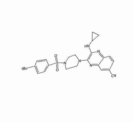 CC(C)(C)c1ccc(S(=O)(=O)N2CCN(c3nc4cc(C#N)ccc4nc3NC3CC3)CC2)cc1